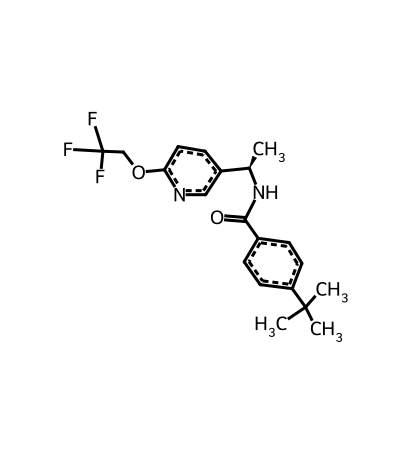 C[C@@H](NC(=O)c1ccc(C(C)(C)C)cc1)c1ccc(OCC(F)(F)F)nc1